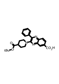 CC(C)(C)OC(=O)C1CCN(c2nc3cc(C(=O)O)ccc3nc2-c2ccccc2)CC1